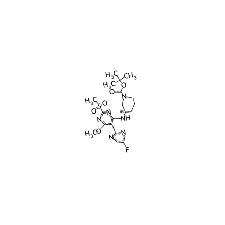 COc1nc(S(C)(=O)=O)nc(N[C@@H]2CCCN(C(=O)OC(C)(C)C)C2)c1-c1ncc(F)cn1